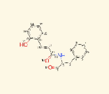 O=CC(Cc1ccccc1)NC(=O)/C=C/c1ccccc1O